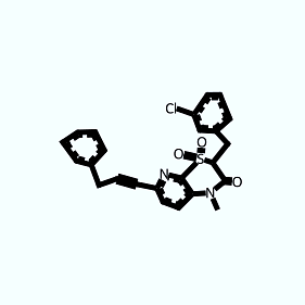 CN1C(=O)C(Cc2cccc(Cl)c2)S(=O)(=O)c2nc(C#CCc3ccccc3)ccc21